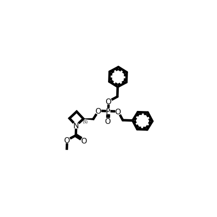 COC(=O)N1CC[C@H]1COP(=O)(OCc1ccccc1)OCc1ccccc1